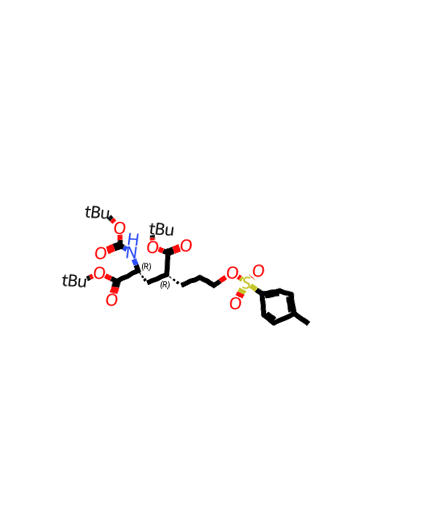 Cc1ccc(S(=O)(=O)OCCC[C@H](C[C@@H](NC(=O)OC(C)(C)C)C(=O)OC(C)(C)C)C(=O)OC(C)(C)C)cc1